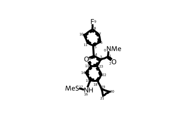 CNC(=O)c1c(-c2ccc(F)cc2)oc2cc(NSC)c(C3CC3)cc12